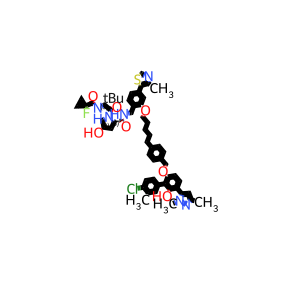 Cc1cc(-c2ccc(OCc3ccc(CCCCCOc4cc(-c5scnc5C)ccc4CNC(=O)[C@@H]4C[C@@H](O)CN4C(=O)[C@@H](NC(=O)C4(F)CC4)C(C)(C)C)cc3)c(-c3ccc(Cl)c(C)c3)c2O)n(C)n1